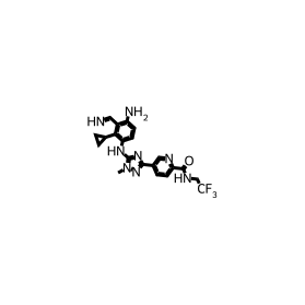 Cn1nc(-c2ccc(C(=O)NCC(F)(F)F)nc2)nc1Nc1ccc(N)c(C=N)c1C1CC1